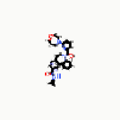 C/C=C(\C=C/C1=Cc2ccccc2N(C(=O)c2cccc(N3CCCOCC3)n2)CC1)C(=O)NC1CC1